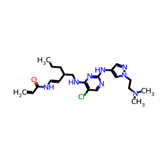 C=CC(=O)N/C=C/C(CCC)CNc1nc(Nc2cnn(CCN(C)C)c2)ncc1Cl